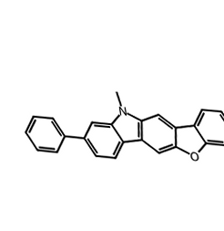 Cn1c2cc(-c3ccccc3)ccc2c2cc3oc4ccccc4c3cc21